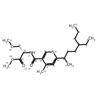 CCCC(CC)CCC(C)C1=C=C(C)C(C(=O)N[C@@H](COC)C(=O)OC)=CS1